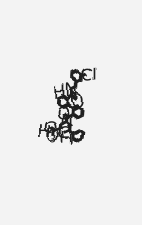 CC(CN(CCC(=O)O)C(=O)c1ccccc1-c1ccccc1C(=O)NCc1cccc(Cl)c1)c1ccccc1